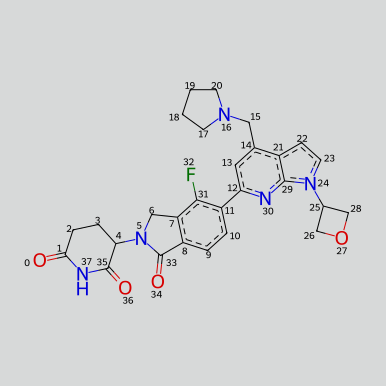 O=C1CCC(N2Cc3c(ccc(-c4cc(CN5CCCC5)c5ccn(C6COC6)c5n4)c3F)C2=O)C(=O)N1